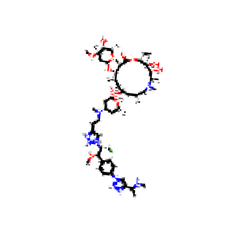 CC[C@H]1OC(=O)[C@H](C)[C@@H](O[C@H]2C[C@@](C)(OC)[C@@H](O)[C@H](C)O2)[C@H](C)[C@@H](O[C@H]2C[C@@H](N(C)CCc3cn([C@H](CF)[C@H](OC)c4ccc(-n5cc(C(C)NC)nn5)cc4)nn3)C[C@@H](C)O2)[C@](C)(O)C[C@@H](C)CN(C)[C@H](C)[C@@H](O)[C@]1(C)O